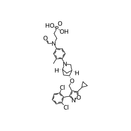 Cc1cc(N(C=O)CCP(=O)(O)O)ccc1N1C[C@@H]2C[C@H]1C[C@H]2OCc1c(-c2c(Cl)cccc2Cl)noc1C1CC1